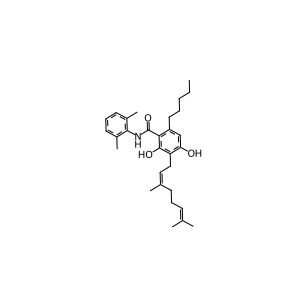 CCCCCc1cc(O)c(CC=C(C)CCC=C(C)C)c(O)c1C(=O)Nc1c(C)cccc1C